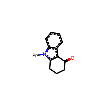 CC(C)n1c2c(c3ccccc31)C(=O)CCC2